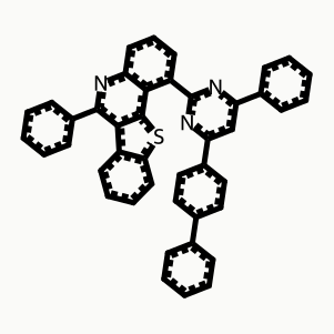 c1ccc(-c2ccc(-c3cc(-c4ccccc4)nc(-c4cccc5nc(-c6ccccc6)c6c7ccccc7sc6c45)n3)cc2)cc1